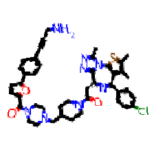 Cc1sc2c(c1C)C(c1ccc(Cl)cc1)=N[C@@H](CC(=O)N1CCC(CN3CCN(C(=O)c4ccc(-c5ccc(C#CCN)cc5)o4)CC3)CC1)c1nnc(C)n1-2